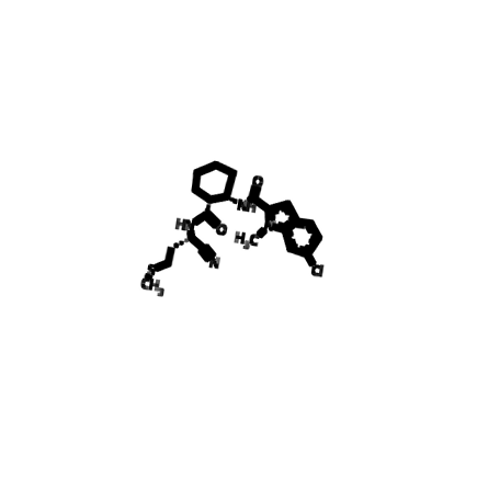 CSCC[C@@H](C#N)NC(=O)[C@@H]1CCCC[C@@H]1NC(=O)c1cc2ccc(Cl)cc2n1C